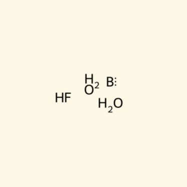 F.O.O.[B]